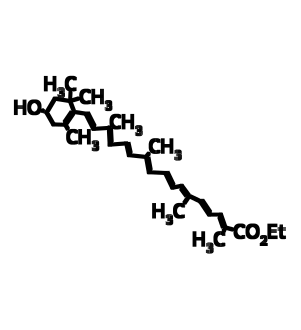 CCOC(=O)/C(C)=C/C=C/C(C)=C/C=C/C=C(C)/C=C/C=C(C)/C=C/C1=C(C)C[C@@H](O)CC1(C)C